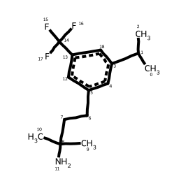 CC(C)c1cc(CCC(C)(C)N)cc(C(F)(F)F)c1